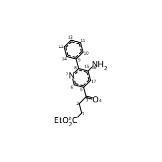 CCOC(=O)CCC(=O)c1cnc(-c2ccccc2)c(N)c1